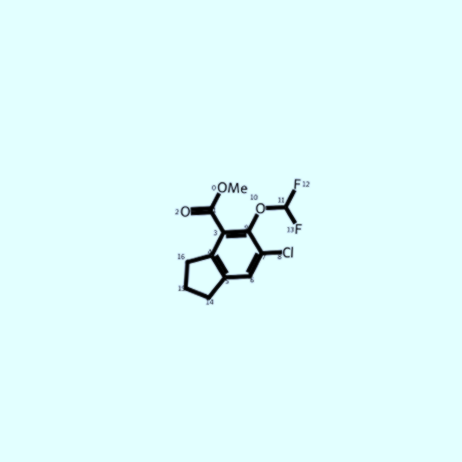 COC(=O)c1c2c(cc(Cl)c1OC(F)F)CCC2